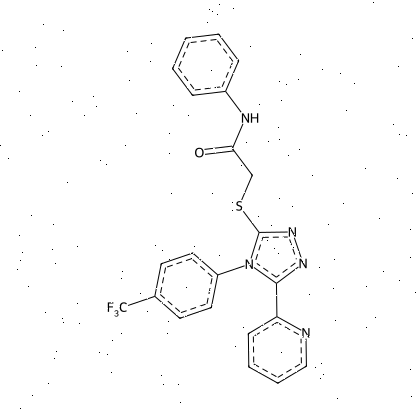 O=C(CSc1nnc(-c2ccccn2)n1-c1ccc(C(F)(F)F)cc1)Nc1ccccc1